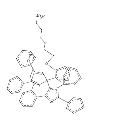 CCCOCCOc1ccccc1-c1nc(-c2ccccc2)c(-c2ccccc2)n1C1(c2ccccc2OCCOCCCS(=O)(=O)O)N=C(c2ccccc2)C(c2ccccc2)=N1